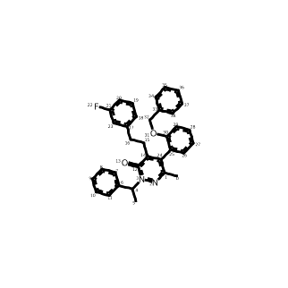 Cc1nn(C(C)c2ccccc2)c(=O)c(CCc2cccc(F)c2)c1-c1ccccc1OCc1ccccc1